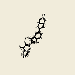 Cc1c(-c2[nH]c3ccc(C4CC5CNCC5C4)cc3c2C(C)C)cn2cnnc2c1C